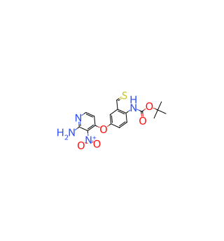 CC(C)(C)OC(=O)Nc1ccc(Oc2ccnc(N)c2[N+](=O)[O-])cc1C=S